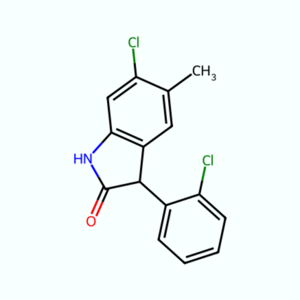 Cc1cc2c(cc1Cl)NC(=O)C2c1ccccc1Cl